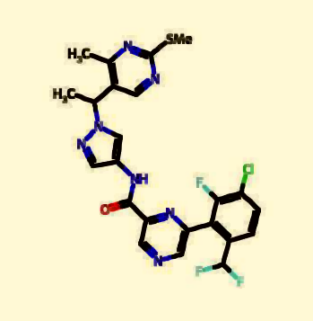 CSc1ncc(C(C)n2cc(NC(=O)c3cncc(-c4c(C(F)F)ccc(Cl)c4F)n3)cn2)c(C)n1